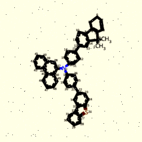 CC1(C)C2=C(CCC=C2)c2ccc(-c3ccc(N(c4ccc(-c5ccc6sc7ccccc7c6c5)cc4)c4cc5ccccc5c5ccccc45)cc3)cc21